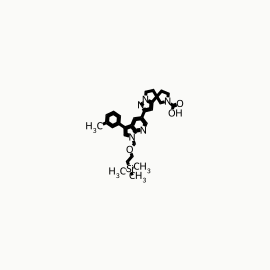 Cc1cccc(-c2cn(COCC[Si](C)(C)C)c3ncc(-c4cc5n(n4)CCC54CCN(C(=O)O)C4)cc23)c1